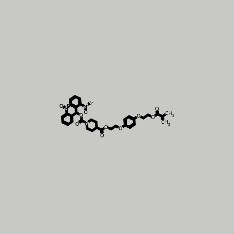 C=C(C)C(=O)OCCOc1ccc(OCCOC(=O)C2CCN(C(=O)OC(c3ccccc3[N+](=O)[O-])c3ccccc3[N+](=O)[O-])CC2)cc1